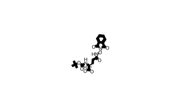 CC(C)(C)OC(=O)N[C@@H](CCC(=O)NON1C(=O)c2ccccc2C1=O)C(=O)O